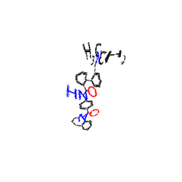 CN(C)Cc1ccccc1-c1ccccc1C(=O)Nc1ccc(C(=O)N2CCCc3ccccc32)cc1